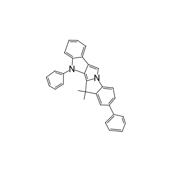 CC1(C)c2cc(-c3ccccc3)ccc2-n2cc3c4ccccc4n(-c4ccccc4)c3c21